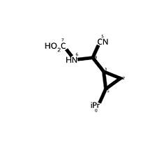 CC(C)C1CC1C(C#N)NC(=O)O